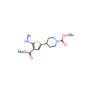 COC(=O)c1cc(C2CCN(C(=O)OC(C)(C)C)CC2)sc1NC(C)C